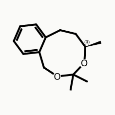 C[C@@H]1CCc2ccccc2COC(C)(C)O1